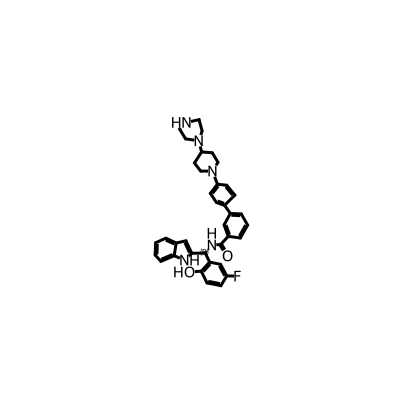 O=C(N[C@@H](c1cc2ccccc2[nH]1)c1cc(F)ccc1O)c1cccc(-c2ccc(N3CCC(N4CCNCC4)CC3)cc2)c1